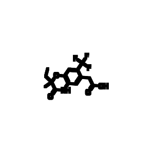 CCC1(C)Oc2cc(C(F)(F)F)c(CC(=O)O)cc2NC1=O